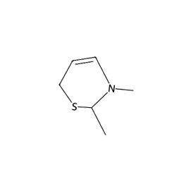 CC1SCC=CN1C